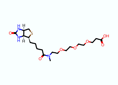 CN(CCOCCOCCOCCC(=O)O)C(=O)CCCC[C@@H]1SC[C@@H]2NC(=O)N[C@@H]21